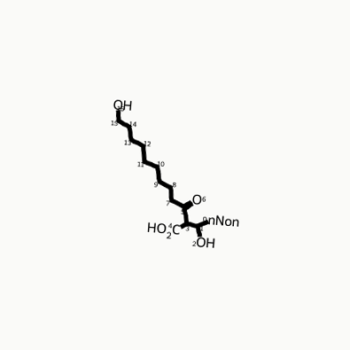 CCCCCCCCCC(O)C(C(=O)O)C(=O)CCCCCCCCCO